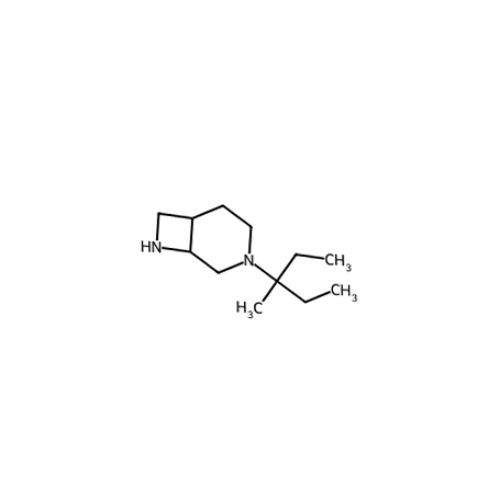 CCC(C)(CC)N1CCC2CNC2C1